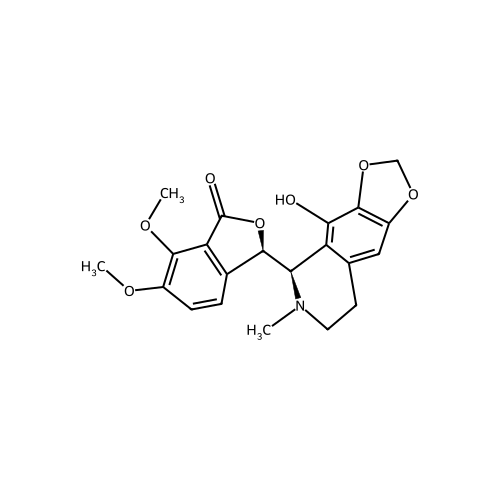 COc1ccc2c(c1OC)C(=O)O[C@H]2[C@H]1c2c(cc3c(c2O)OCO3)CCN1C